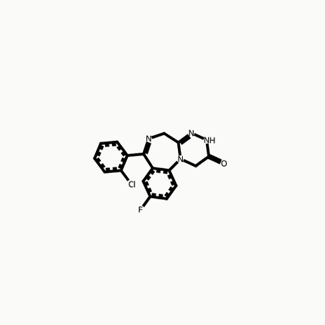 O=C1CN2C(=NN1)CN=C(c1ccccc1Cl)c1cc(F)ccc12